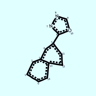 c1ccc2cc(-c3nnco3)ccc2c1